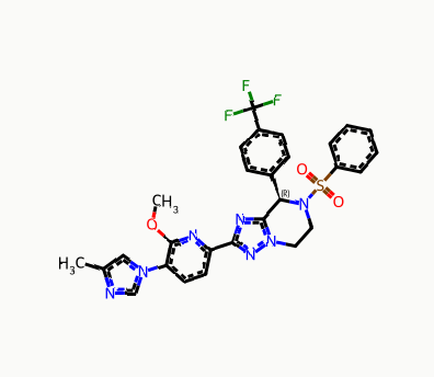 COc1nc(-c2nc3n(n2)CCN(S(=O)(=O)c2ccccc2)[C@@H]3c2ccc(C(F)(F)F)cc2)ccc1-n1cnc(C)c1